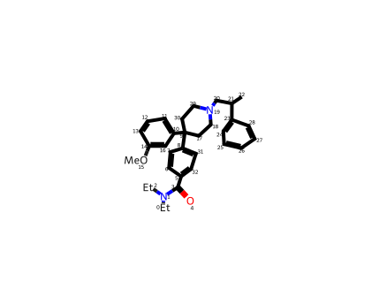 CCN(CC)C(=O)c1ccc(C2(c3cccc(OC)c3)CCN(CC(C)c3ccccc3)CC2)cc1